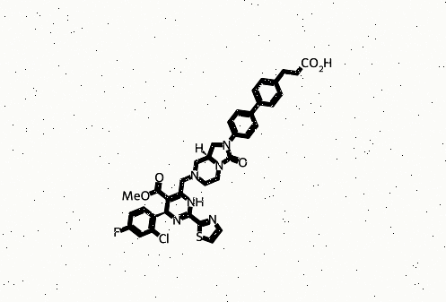 COC(=O)C1=C(CN2CCN3C(=O)N(c4ccc(-c5ccc(CCC(=O)O)cc5)cc4)C[C@@H]3C2)NC(c2nccs2)=N[C@H]1c1ccc(F)cc1Cl